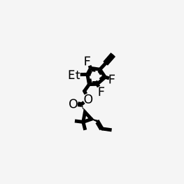 C#Cc1c(F)c(F)c(COC(=O)[C@@H]2[C@@H](C=CC)C2(C)C)c(CC)c1F